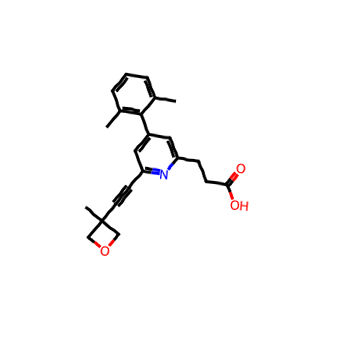 Cc1cccc(C)c1-c1cc(C#CC2(C)COC2)nc(CCC(=O)O)c1